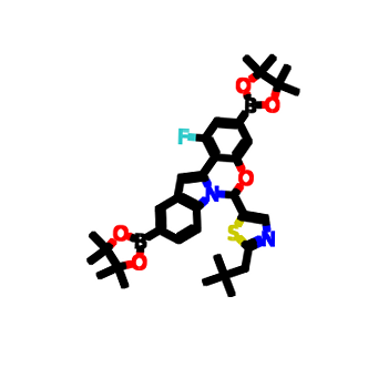 CC(C)(C)Cc1ncc(C2Oc3cc(B4OC(C)(C)C(C)(C)O4)cc(F)c3-c3cc4cc(B5OC(C)(C)C(C)(C)O5)ccc4n32)s1